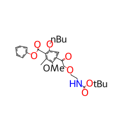 CCCCOc1cc(C(=O)COCCNC(=O)OC(C)(C)C)c(OC)c(C)c1C(=O)Oc1ccccc1